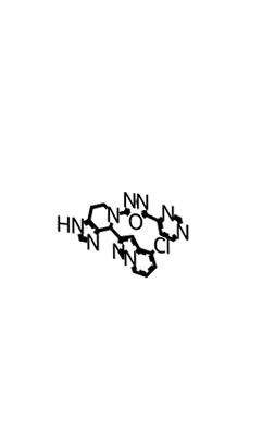 Clc1cccn2nc(C3c4nc[nH]c4CCN3c3nnc(-c4ccncn4)o3)cc12